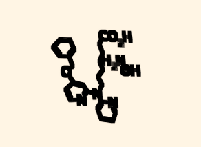 NO.O=C(O)CCCCCCN(c1ccccn1)c1cc(OCc2ccccc2)ccn1